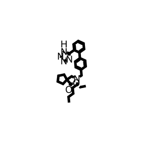 CCCCCN(Cc1ccc(-c2ccccc2-c2nnn[nH]2)cc1)CC1(C(=O)OCC)CCCC1